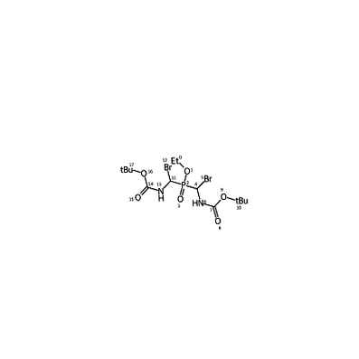 CCOP(=O)(C(Br)NC(=O)OC(C)(C)C)C(Br)NC(=O)OC(C)(C)C